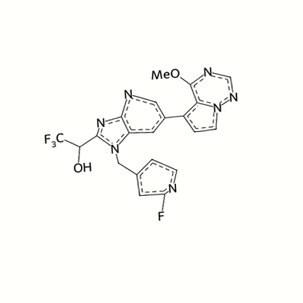 COc1ncnn2ccc(-c3cnc4nc(C(O)C(F)(F)F)n(Cc5ccnc(F)c5)c4c3)c12